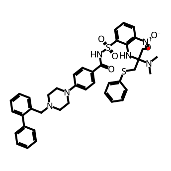 CCC(CSc1ccccc1)(Nc1c([N+](=O)[O-])cccc1S(=O)(=O)NC(=O)c1ccc(N2CCN(Cc3ccccc3-c3ccccc3)CC2)cc1)N(C)C